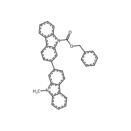 Cn1c2ccccc2c2ccc(-c3ccc4c5ccccc5n(C(=O)OCc5ccccc5)c4c3)cc21